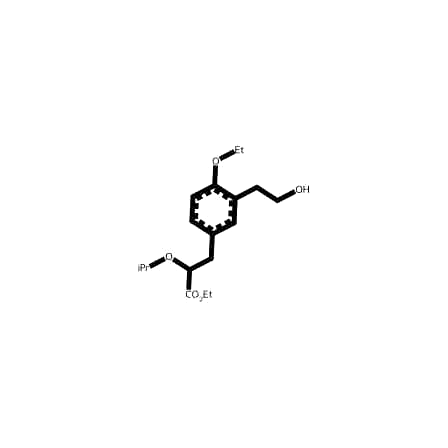 CCOC(=O)C(Cc1ccc(OCC)c(CCO)c1)OC(C)C